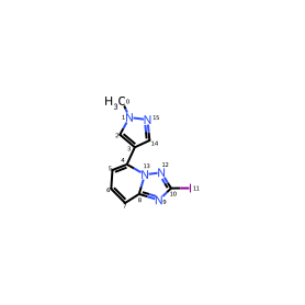 Cn1cc(-c2cccc3nc(I)nn23)cn1